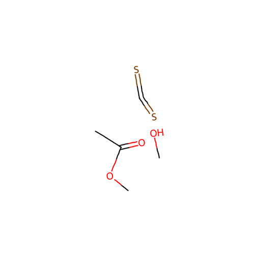 CO.COC(C)=O.S=C=S